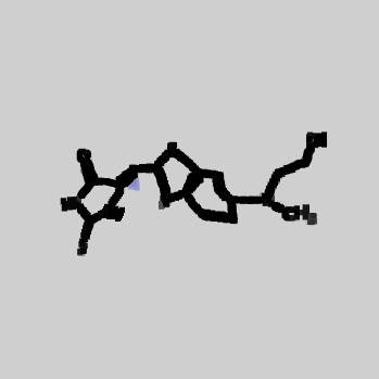 CN(CCO)c1ccc2nc(/C=C3\NC(=S)NC3=O)sc2c1